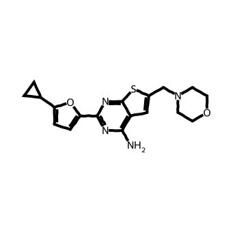 Nc1nc(-c2ccc(C3CC3)o2)nc2sc(CN3CCOCC3)cc12